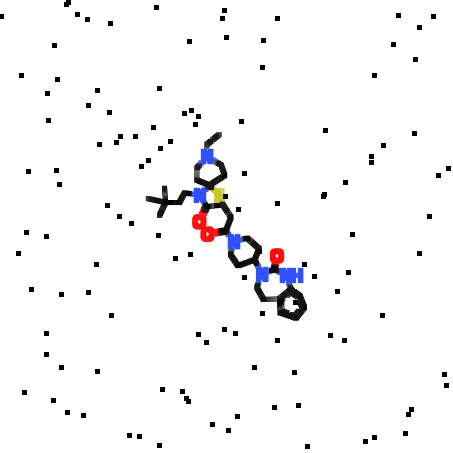 CCN1CCC2(CC1)SC(CC(=O)N1CCC(N3CCc4ccccc4NC3=O)CC1)C(=O)N2CCC(C)(C)C